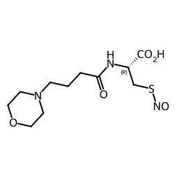 O=NSC[C@H](NC(=O)CCCN1CCOCC1)C(=O)O